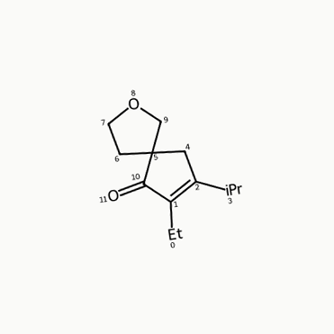 CCC1=C(C(C)C)CC2(CCOC2)C1=O